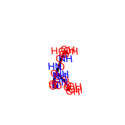 C[C@@H]1O[C@@H](OCCNC(=O)CCCCC(=O)NCCCC[C@H](NC(=O)CCCCC(=O)NCCO[C@@H]2O[C@@H](C)C(O)[C@@H](O)[C@@H]2O)C(=O)NCCCCCC(=O)ON2C(=O)CCC2=O)[C@@H](O)[C@H](O)C1O